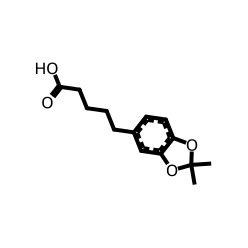 CC1(C)Oc2ccc(CCCCC(=O)O)cc2O1